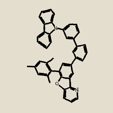 Cc1cc(C)c(-c2cc(-c3cccc(-c4cccc(-n5c6ccccc6c6ccccc65)c4)c3)cc3c2oc2cccnc23)c(C)c1